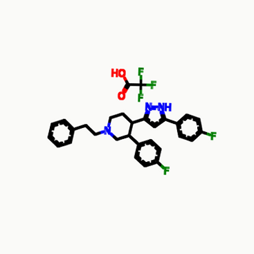 Fc1ccc(-c2cc(C3CCN(CCc4ccccc4)CC3c3ccc(F)cc3)n[nH]2)cc1.O=C(O)C(F)(F)F